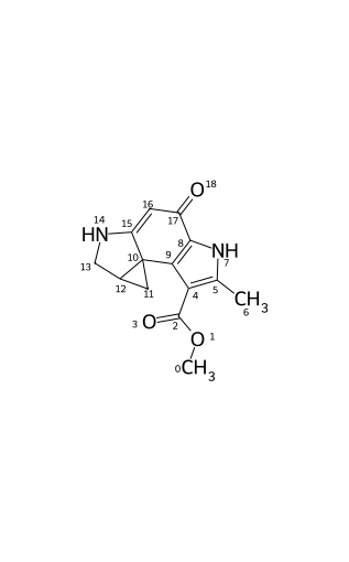 COC(=O)c1c(C)[nH]c2c1C13CC1CNC3=CC2=O